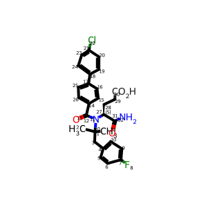 CC(C)(Cc1ccc(F)cc1)N(C(=O)c1ccc(-c2ccc(Cl)cc2)cc1)[C@@H](CCC(=O)O)C(N)=O